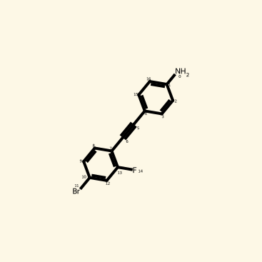 Nc1ccc(C#Cc2ccc(Br)cc2F)cc1